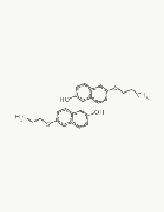 CCCSc1ccc2c(-c3c(O)ccc4cc(SCCC)ccc34)c(O)ccc2c1